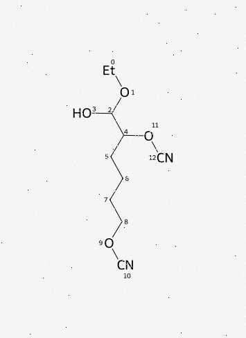 CCOC(O)C(CCCCOC#N)OC#N